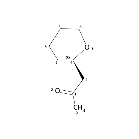 CC(=O)C[C@H]1CCCCO1